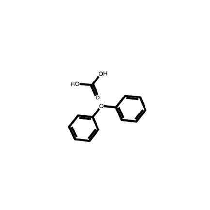 O=C(O)O.c1ccc(Oc2ccccc2)cc1